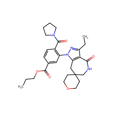 CCCOC(=O)c1ccc(C(=O)N2CCCC2)c(-n2nc(CC)c3c2CC2(CCOCC2)CNC3=O)c1